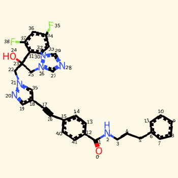 O=C(NCCCc1ccccc1)c1ccc(C#Cc2cnn(CC(O)(Cn3cncn3)c3ccc(F)cc3F)c2)cc1